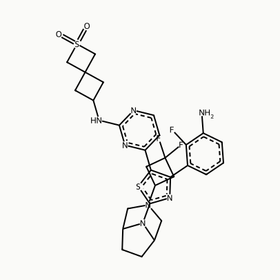 Nc1cccc(-c2nc(N3C4CCC3CN(C3CC(F)(F)C3)C4)sc2-c2ccnc(NC3CC4(C3)CS(=O)(=O)C4)n2)c1F